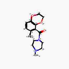 CN1CCN(C(=O)c2c([N+](=O)[O-])ccc3c2OCCO3)CC1